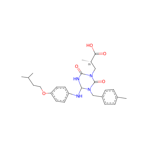 Cc1ccc(CN2C(=O)N(C[C@H](C)C(=O)O)C(=O)NC2Nc2ccc(OCCC(C)C)cc2)cc1